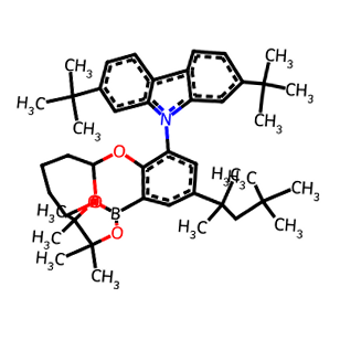 CC(C)(C)CC(C)(C)c1cc(B2OC(C)(C)C(C)(C)O2)c(OC2CCCCO2)c(-n2c3cc(C(C)(C)C)ccc3c3ccc(C(C)(C)C)cc32)c1